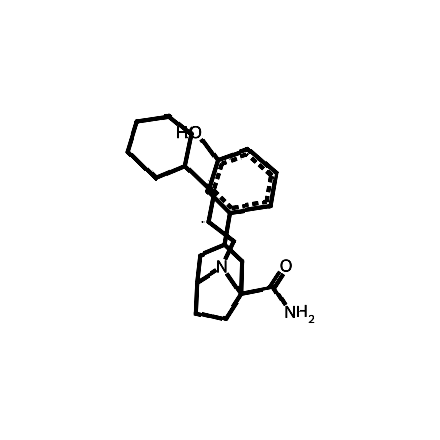 NC(=O)C12CCC(CC(c3cccc(O)c3)C1)N2C[CH]CC1CCCCC1